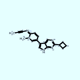 CC#C/N=c1/ccc(-c2c[nH]c3nc(C4CCC4)ncc23)cn1C